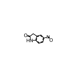 O=Nc1ccc2c(c1)CC(=O)N2